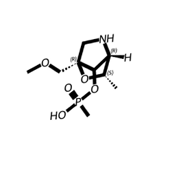 COC[C@]12CN[C@@H](C1OP(C)(=O)O)[C@H](C)O2